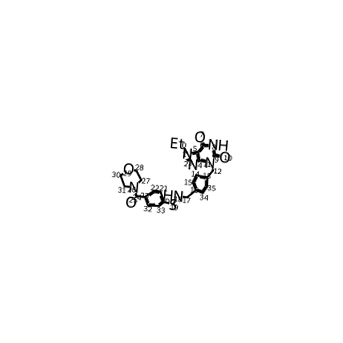 CCn1cnc2c1c(=O)[nH]c(=O)n2Cc1ccc(CNSc2ccc(C(=O)N3CCOCC3)cc2)cc1